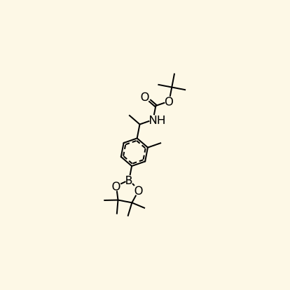 Cc1cc(B2OC(C)(C)C(C)(C)O2)ccc1C(C)NC(=O)OC(C)(C)C